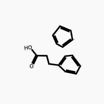 O=C(O)CCc1ccccc1.[c]1ccccc1